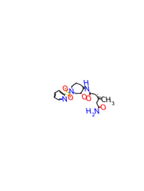 C[C@H]([CH]C(=O)N[C@H]1CCCN(S(=O)(=O)c2ccccn2)CC1=O)CC(N)=O